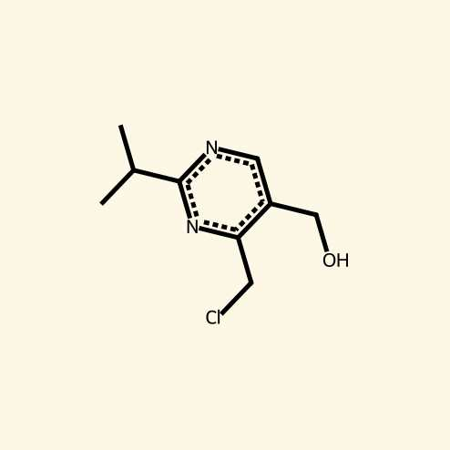 CC(C)c1ncc(CO)c(CCl)n1